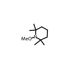 CON1C(C)(C)CCCC1(C)C